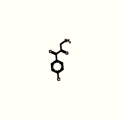 BCC(=O)C(=O)c1ccc(Cl)cc1